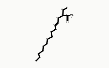 CCCCCCCCCC/C=C/CC(CC)C(=O)O